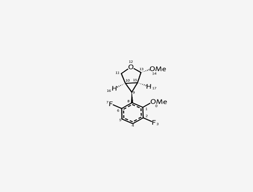 COc1c(F)ccc(F)c1[C@H]1[C@H]2CO[C@H](OC)[C@H]21